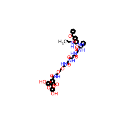 CCCCNC(=O)CC(Cc1ccc(C(=O)c2ccccc2)cc1)NC(=O)[C@H](CC1CCCCC1)NC(=O)CNC(=O)/C=C/C(=O)NCC(=O)NCCOCCOCCNC(=O)c1ccc2c(c1)C(=O)OC21c2ccc(O)cc2Oc2cc(O)ccc21